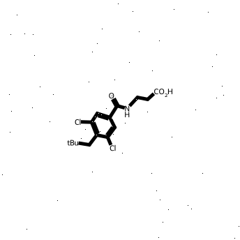 CC(C)(C)Cc1c(Cl)cc(C(=O)NCCC(=O)O)cc1Cl